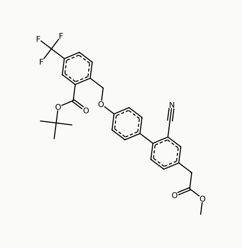 COC(=O)Cc1ccc(-c2ccc(OCc3ccc(C(F)(F)F)cc3C(=O)OC(C)(C)C)cc2)c(C#N)c1